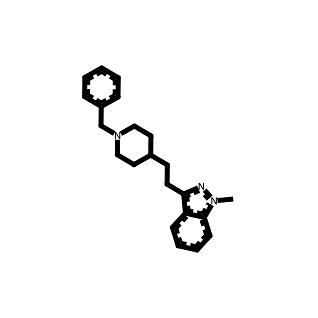 Cn1nc(CCC2CCN(Cc3ccccc3)CC2)c2ccccc21